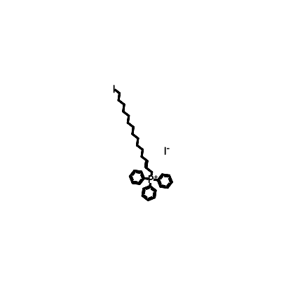 ICCCCCCCCCCCCC=CC[P+](c1ccccc1)(c1ccccc1)c1ccccc1.[I-]